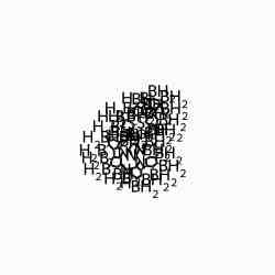 BC1=C(B)C(S(c2c(B)c(B)c(B)c(B)c2B)(c2c(B)c(B)c(B)c(B)c2B)c2c(B)c(B)c(B)c3c2oc2c(B)c(B)c(B)c(B)c23)C(B)=C1c1cc2nc(n1)n1c3c(B)c(B)c(B)c(B)c3c3c(B)c(B)c(B)c([nH]c4c(B)c(B)c(B)c5c6c(B)c(B)c(B)c(B)c6n2c45)c31